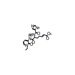 CCn1cccc(NC(=O)C(CC/C=C/C(=O)OC)NC(=O)c2cncn2C)c1=O